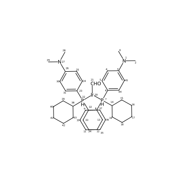 CN(C)c1ccc([PH](C2CCCCC2)(C2CCCCC2)[Ir]([CH]=O)[PH](c2ccc(N(C)C)cc2)(C2CCCCC2)C2CCCCC2)cc1